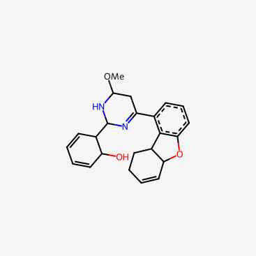 COC1CC(c2cccc3c2C2CCC=CC2O3)=NC(C2C=CC=CC2O)N1